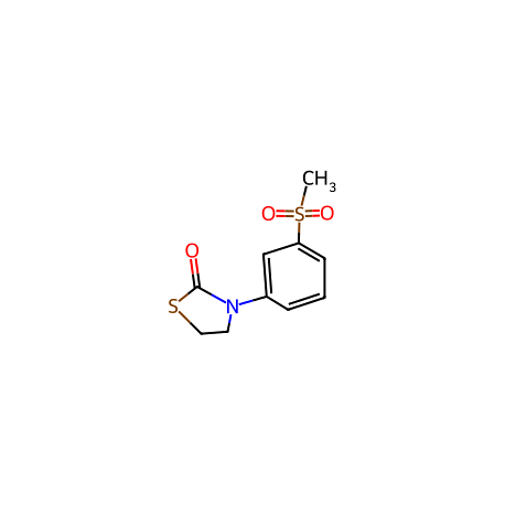 CS(=O)(=O)c1cccc(N2CCSC2=O)c1